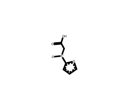 O=C(O)C[S+]([O-])c1ccco1